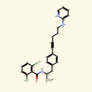 O=C(N[C@@H](Cc1ccc(C#CCCCNc2ccccn2)cc1)C(=O)O)c1c(Cl)cccc1Cl